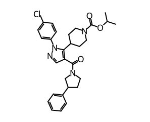 CC(C)OC(=O)N1CCC(c2c(C(=O)N3CCC(c4ccccc4)C3)cnn2-c2ccc(Cl)cc2)CC1